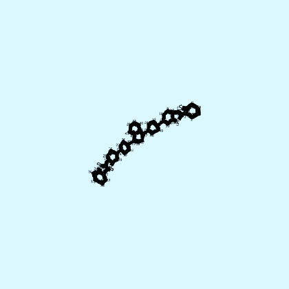 c1ccc2c(c1)sc1c3ccc(-c4ccc(-c5ccc(-c6ccc(-c7ccc8c(c7)sc7c9ccccc9sc87)cc6)c6ccccc56)cc4)cc3sc21